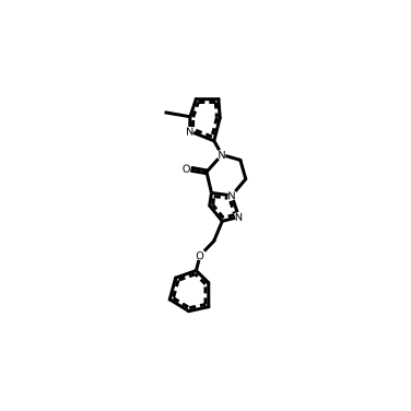 Cc1cccc(N2CCn3nc(COc4ccccc4)cc3C2=O)n1